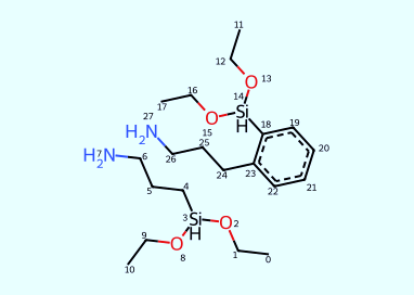 CCO[SiH](CCCN)OCC.CCO[SiH](OCC)c1ccccc1CCCN